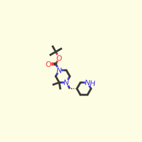 CC(C)(C)OC(=O)N1CCN(C[C@H]2CCCNC2)C(C)(C)C1